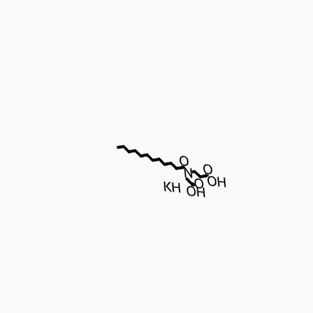 CCCCCCCCCCCC(=O)N(CCC(=O)O)CC(=O)O.[KH]